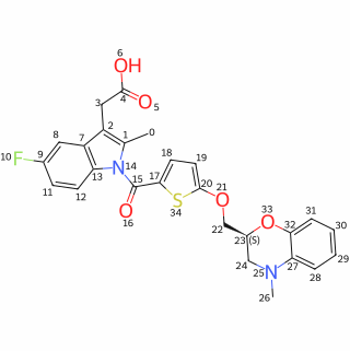 Cc1c(CC(=O)O)c2cc(F)ccc2n1C(=O)c1ccc(OC[C@@H]2CN(C)c3ccccc3O2)s1